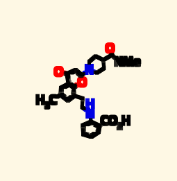 CNC(=O)C1CCN(c2cc(=O)c3cc(C)cc(CCNc4ccccc4C(=O)O)c3o2)CC1